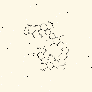 COC1CC(OC2C(C)OC(OC3C(C)OC(OC4CCC(OC5CC(O)c6c(oc7c8c9c(c(O)c7c6=O)-c6c(cc7c(c6O)C(=O)N6CCOC6(C)C7)CC9OCO8)C5O)OC4C)CC3OC)CC2OC)OC(C)C1O